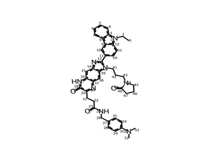 CCn1c2ccccc2c2cc(-c3nc4cc5[nH]c(=O)c(CCC(=O)NCc6ccc(N(C)C)cc6)nc5cc4n3CCCN3CCCC3=O)ccc21